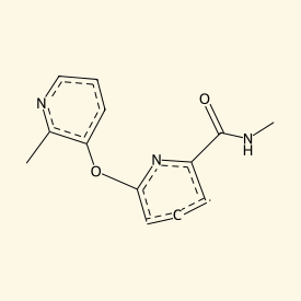 CNC(=O)c1[c]ccc(Oc2cccnc2C)n1